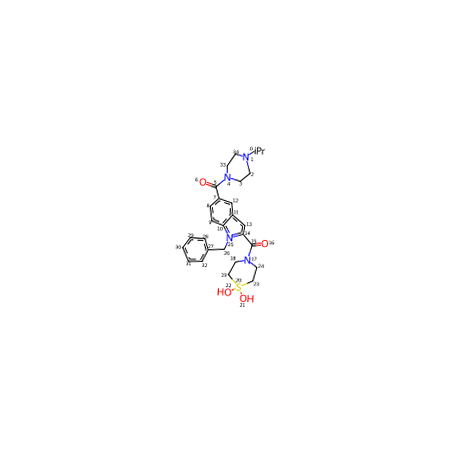 CC(C)N1CCN(C(=O)c2ccc3c(c2)cc(C(=O)N2CCS(O)(O)CC2)n3Cc2ccccc2)CC1